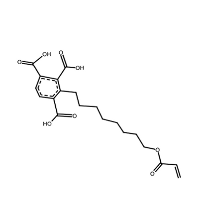 C=CC(=O)OCCCCCCCCc1c(C(=O)O)ccc(C(=O)O)c1C(=O)O